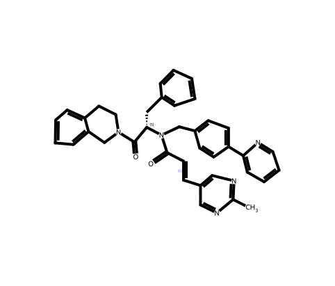 Cc1ncc(/C=C/C(=O)N(Cc2ccc(-c3ccccn3)cc2)[C@@H](Cc2ccccc2)C(=O)N2CCc3ccccc3C2)cn1